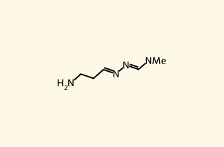 CN/C=N/N=C/CCN